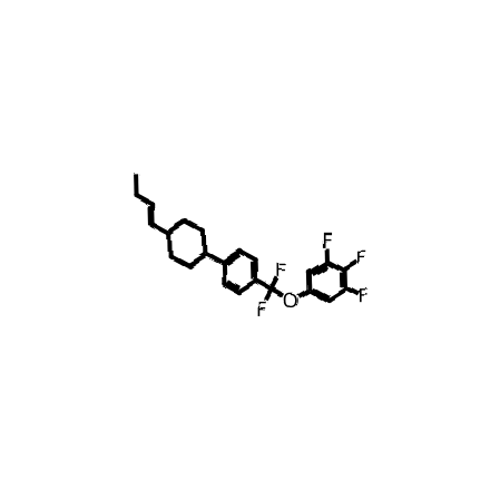 CC/C=C/C1CCC(c2ccc(C(F)(F)Oc3cc(F)c(F)c(F)c3)cc2)CC1